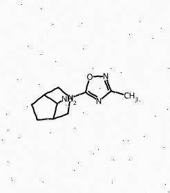 Cc1noc(N2CC3CCC(C2)C3N)n1